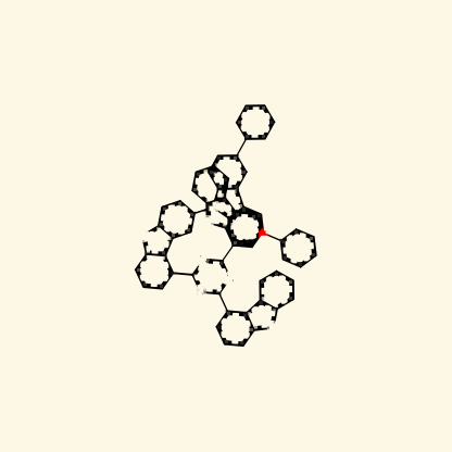 c1ccc(-c2ccc3c(c2)c2cc(-c4ccccc4)ccc2n3-c2ccc3oc4cccc(-c5nc(-c6cccc7c6oc6ccccc67)nc(-c6cccc7oc8ccccc8c67)n5)c4c3c2)cc1